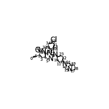 C#Cc1cc2cnc(Nc3ccc(N4CCN5CCCC5C4)cc3)nc2n(Cc2cccc(Cl)c2)c1=O